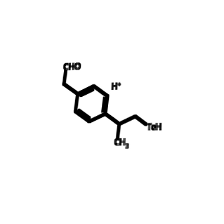 CC(C[TeH])c1ccc(CC=O)cc1.[H+]